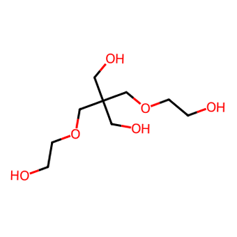 OCCOCC(CO)(CO)COCCO